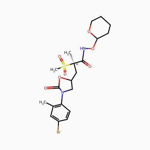 Cc1cc(Br)ccc1N1CC(C[C@](C)(C(=O)NOC2CCCCO2)S(C)(=O)=O)OC1=O